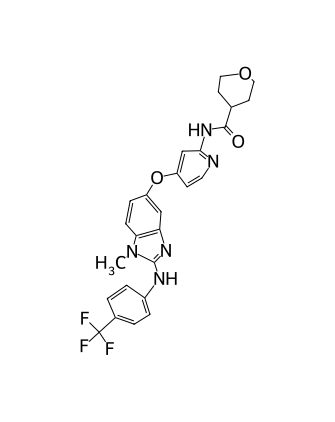 Cn1c(Nc2ccc(C(F)(F)F)cc2)nc2cc(Oc3ccnc(NC(=O)C4CCOCC4)c3)ccc21